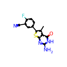 Cc1c(-c2ccc(F)c(C#N)c2)sc2nc(N)[nH]c(=O)c12